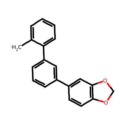 [CH2]c1ccccc1-c1cccc(-c2ccc3c(c2)OCO3)c1